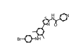 Cc1cc(-c2csc(NC(=O)c3ccncc3)n2)cc(C)c1Nc1ccc(Br)cc1